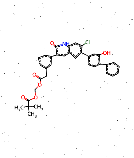 CC(C)(C)C(=O)OCOC(=O)Cc1cccc(-c2cc3cc(-c4ccc(-c5ccccc5)c(O)c4)c(Cl)cc3[nH]c2=O)c1